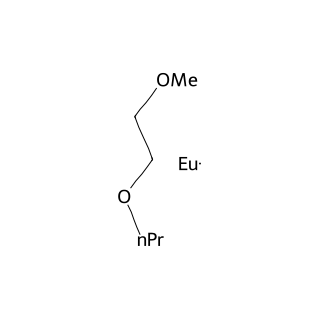 CCCOCCOC.[Eu]